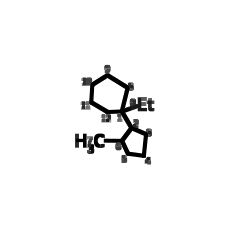 CCC1([C]2CCCC2C)CCCCC1